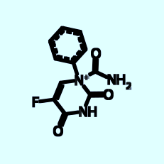 NC(=O)[N+]1(c2ccccc2)C=C(F)C(=O)NC1=O